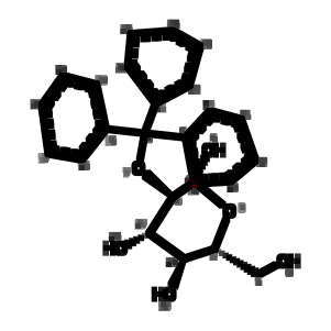 OC[C@H]1O[C@@H](O)[C@H](OC(c2ccccc2)(c2ccccc2)c2ccccc2)[C@@H](O)[C@@H]1O